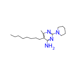 CCCCCCCCc1c(C)nc(N2CCCCC2)nc1N